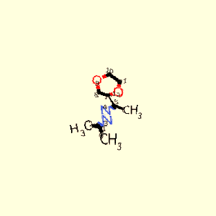 CC(C)=N/N=C(\C)[C@H]1COCCO1